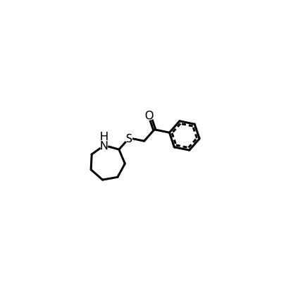 O=C(CSC1CCCCCN1)c1ccccc1